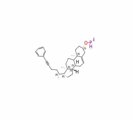 C[C@H](CCC#Cc1ccccc1)[C@H]1CC[C@H]2[C@@H]3CC=C4C[C@@H](OPI)CC[C@]4(C)C3CC[C@]12C